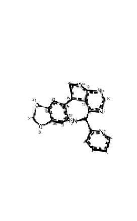 NC(c1ccccn1)c1ncnc2scc(-c3ccc4c(c3)OCO4)c12